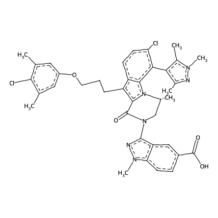 Cc1cc(OCCCc2c3n(c4c(-c5c(C)nn(C)c5C)c(Cl)ccc24)[C@H](C)CN(c2nn(C)c4ccc(C(=O)O)cc24)C3=O)cc(C)c1Cl